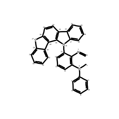 C=Nc1c(N(C)c2ccccc2)cccc1-n1c2ccccc2c2ccc3sc4ccccc4c3c21